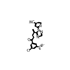 C=C(CCC(=O)c1cc(Cl)cc([S+](C)[O-])c1)c1ncnn1-c1cc(C#N)ccn1